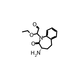 CCOC(C=O)N1C(=O)[C@@H](N)CCc2ccccc21